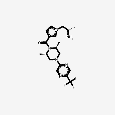 C[C@H](N)Cn1ccc(C(=O)N2[C@H](C)CN(c3cnc(C(F)(F)F)cn3)C[C@@H]2C)c1